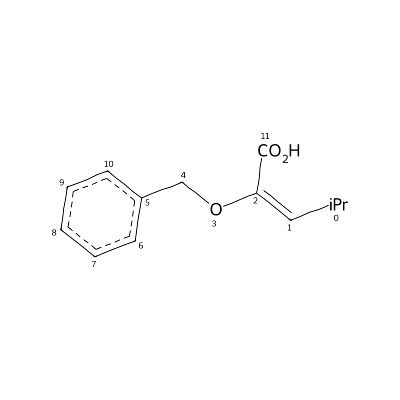 CC(C)/C=C(/OCc1ccccc1)C(=O)O